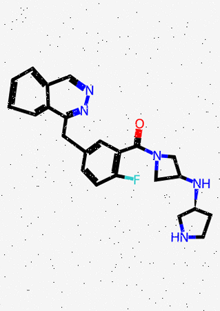 O=C(c1cc(Cc2nncc3ccccc23)ccc1F)N1CC(N[C@H]2CCNC2)C1